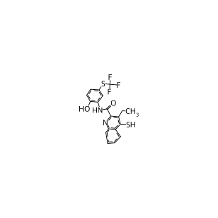 CCc1c(C(=O)Nc2cc(SC(F)(F)F)ccc2O)nc2ccccc2c1S